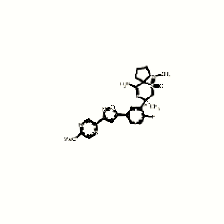 CN=S1(=O)C[C@@](C)(c2cc(-c3cc(-c4cnc(OC)cn4)no3)ccc2F)N=C(N)C12CCCC2